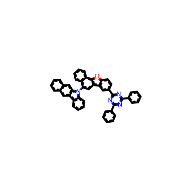 c1ccc(-c2nc(-c3ccccc3)nc(-c3ccc4oc5c6ccccc6c(-n6c7ccccc7c7cc8ccccc8cc76)cc5c4c3)n2)cc1